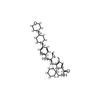 C=N/C(=N\c1c(C)cc2n1C1(CCCCC1)CNC2=O)Nc1ccc(N2CCC(N3CCOCC3)CC2)cn1